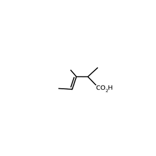 CC=C(C)C(C)C(=O)O